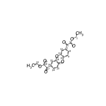 CCOC(=O)C(=O)c1ccc2c(c1)Oc1cc(C(=O)C(=O)OCC)ccc1O2